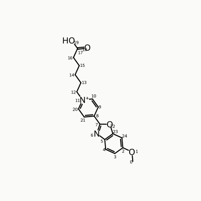 COc1ccc2nc(-c3cc[n+](CCCCCC(=O)O)cc3)oc2c1